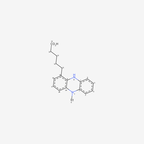 CCN1c2ccccc2Nc2c(CCCCC(=O)O)cccc21